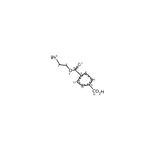 CC(C)CCOC(=O)c1ccc(C(=O)O)cc1